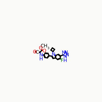 COC(=O)C(=C=O)Nc1ccc(-c2cc3cc(F)c(-c4nnn[nH]4)cc3n2C2CCC2)cc1